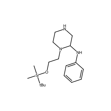 CC(C)(C)[Si](C)(C)OCCN1CCNCC1Nc1ccccc1